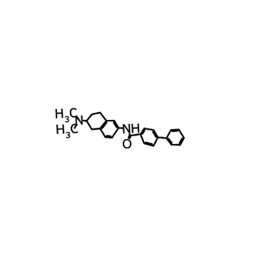 CN(C)C1CCc2cc(NC(=O)c3ccc(-c4ccccc4)cc3)ccc2C1